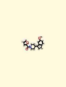 COc1ccc2c(c1)C(C1CCN(C(=O)c3ccco3)CC1)CC2